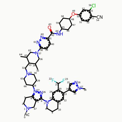 CC(=O)N1CCc2c(c(N3CCCc4cc(-c5cnn(C)c5)c(C(F)F)cc43)nn2C2CCN(CC3C(C)CN(c4ccc(C(=O)NC5CCC(Oc6ccc(C#N)c(Cl)c6)CC5)nn4)CC3C)CC2)C1